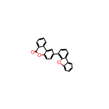 O=c1oc2ccc(-c3cccc4c3oc3ccccc34)cc2c2ccccc12